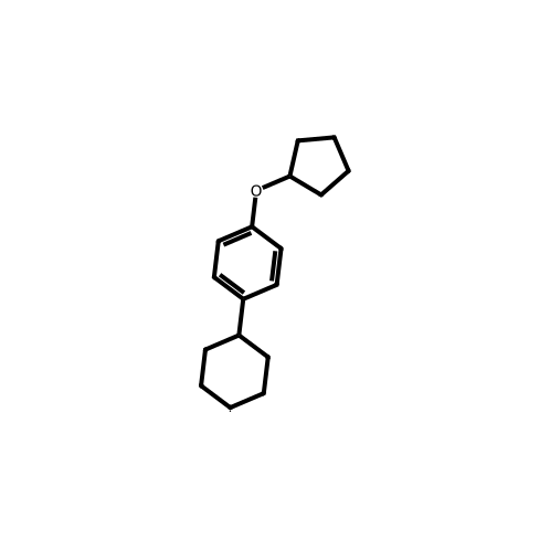 [CH]1CCC(c2ccc(OC3CCCC3)cc2)CC1